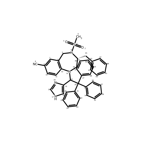 CS(=O)(=O)N1Cc2cc(C#N)ccc2N(C(c2c[nH]cn2)C(c2ccccc2)(c2ccccc2)c2ccccc2)C[C@H]1Cc1ccccc1